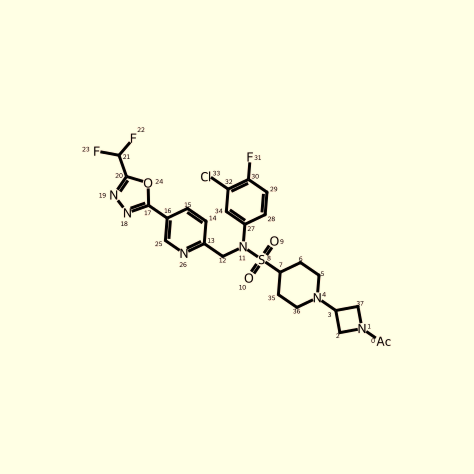 CC(=O)N1CC(N2CCC(S(=O)(=O)N(Cc3ccc(-c4nnc(C(F)F)o4)cn3)c3ccc(F)c(Cl)c3)CC2)C1